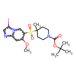 COc1cc2ncc(I)n2cc1S(=O)(=O)C1(C)CCN(C(=O)OC(C)(C)C)CC1